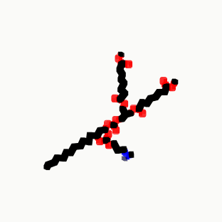 CCCCCCCCCCCCC(CCOC(=O)OCC(COC(=O)CCCCCCC(=O)OC)COC(=O)CCCCCCC(=O)OC)OC(=O)OCCCN(C)C